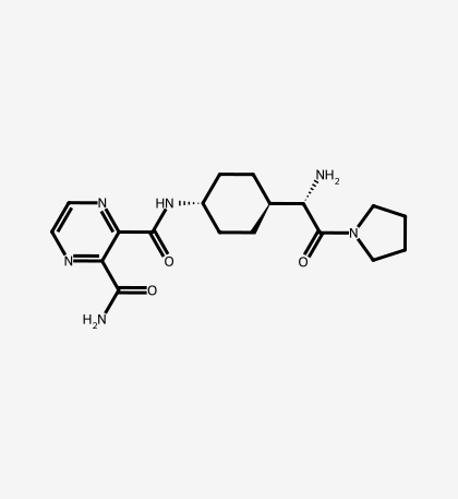 NC(=O)c1nccnc1C(=O)N[C@H]1CC[C@H]([C@H](N)C(=O)N2CCCC2)CC1